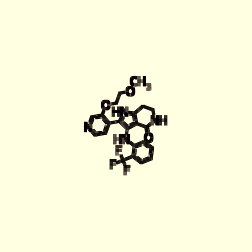 COCCOc1cnccc1-c1[nH]c2c(c1Nc1ccccc1C(F)(F)F)C(=O)NCC2